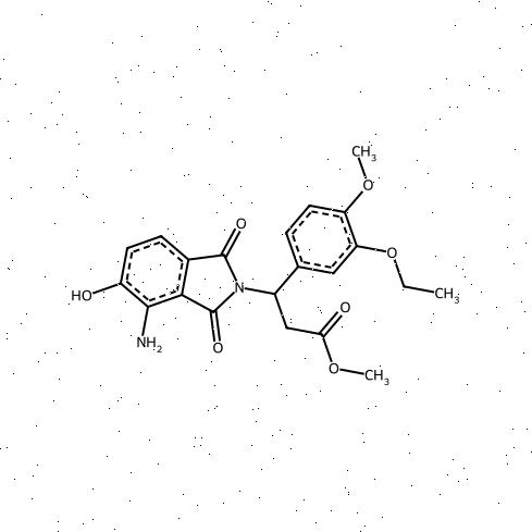 CCOc1cc(C(CC(=O)OC)N2C(=O)c3ccc(O)c(N)c3C2=O)ccc1OC